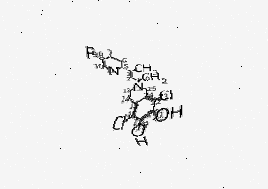 C=C(/C=C(\C)c1ccc(F)cn1)N1CCc2c(Cl)c(O)c(O)c(Cl)c2C1